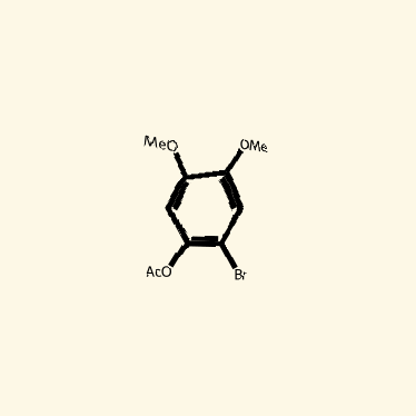 COc1cc(Br)c(OC(C)=O)cc1OC